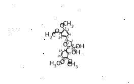 COc1ccc(C2CC(C(O)O)C(c3ccc(OC)c(OC)c3)O2)cc1OC